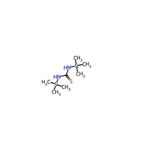 C[Si](C)(C)NC(=S)N[Si](C)(C)C